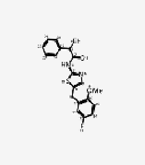 CCC(C(=O)Nc1ncc(Cc2cc(F)ccc2OC)s1)c1ccccc1